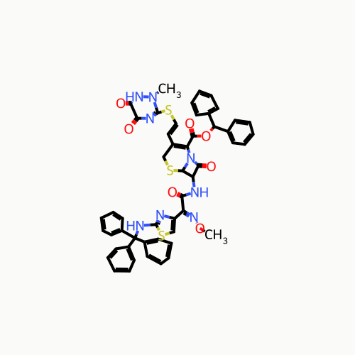 CON=C(C(=O)NC1C(=O)N2C(C(=O)OC(c3ccccc3)c3ccccc3)=C(C=CSc3nc(=O)c(=O)[nH]n3C)CSC12)c1csc(NC(c2ccccc2)(c2ccccc2)c2ccccc2)n1